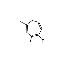 CC1=CC(C)=C(F)C=CC1